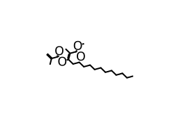 C=C(C)C(=O)OC(CCCCCCCCCCCC)=C(C)C(=O)OC